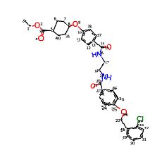 CCOC(=O)[C@H]1CC[C@@H](Oc2ccc(C(=O)NCCNC(=O)c3ccc(OCc4ccccc4Cl)cc3)cc2)CC1